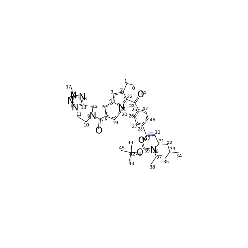 CCc1cc2cc(C(=O)N(CC)Cc3nnn(C)n3)ccn2c1C(=O)c1ccc(/C=C/C(CC(C)C)N(CC)C(=O)OC(C)(C)C)cc1